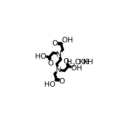 O.O=C(O)CN(CCN(CC(=O)O)CC(=O)O)CC(=O)O.[KH].[KH]